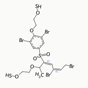 CC(OCCOS)/C(=C\C(Br)=C/CBr)S(=O)(=O)c1cc(Br)c(OCCOS)c(Br)c1